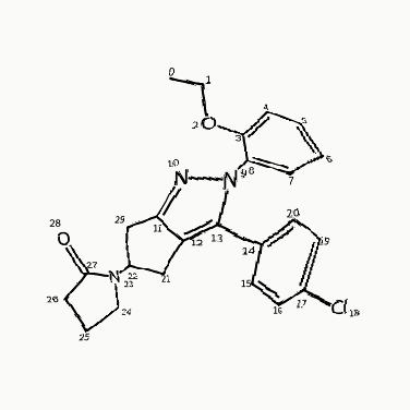 CCOc1ccccc1-n1nc2c(c1-c1ccc(Cl)cc1)CC(N1CCCC1=O)C2